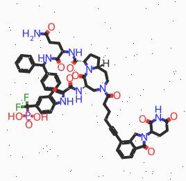 NC(=O)CCC(NC(=O)[C@@H]1CC[C@@H]2CCN(C(=O)CCCC#Cc3cccc4c3CN(C3CCC(=O)NC3=O)C4=O)C[C@H](NC(=O)c3cc4cc(C(F)(F)P(=O)(O)O)ccc4[nH]3)C(=O)N21)C(=O)NC(c1ccccc1)c1ccccc1